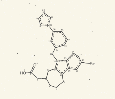 O=C(O)CC1CCCc2c(n(Cc3cccc(-n4ccnc4)c3)c3ccc(F)cc23)C1